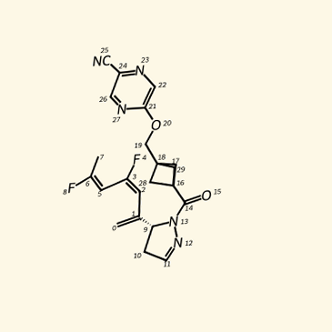 C=C(/C=C(F)\C=C(/C)F)[C@H]1CC=NN1C(=O)C12CC(COc3cnc(C#N)cn3)(C1)C2